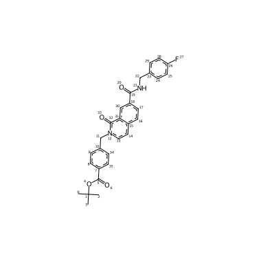 CC(C)(C)OC(=O)c1ccc(Cn2ccc3ccc(C(=O)NCc4ccc(F)cc4)cc3c2=O)cc1